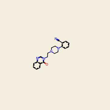 N#Cc1ccccc1N1CCN(CCn2cnc3ccccc3c2=O)CC1